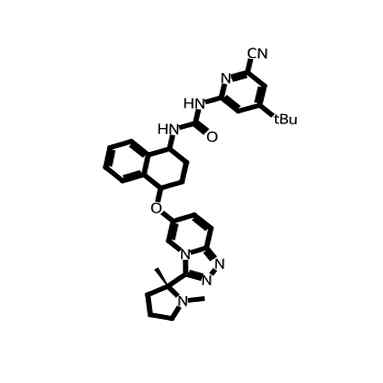 CN1CCC[C@]1(C)c1nnc2ccc(OC3CCC(NC(=O)Nc4cc(C(C)(C)C)cc(C#N)n4)c4ccccc43)cn12